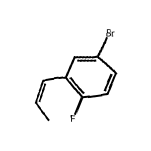 C/C=C\c1cc(Br)ccc1F